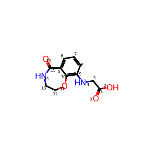 O=C(O)CNc1cccc2c1OCCNC2=O